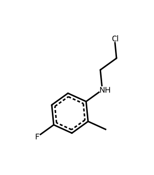 Cc1cc(F)ccc1NCCCl